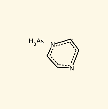 [AsH3].[c]1cnccn1